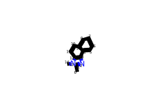 Cc1nc2c3ccccc3ccc2n1C